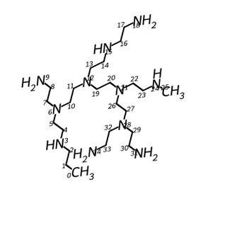 CCCNCCN(CCN)CCN(CCNCCN)CCN(CCNC)CCN(CCN)CCN